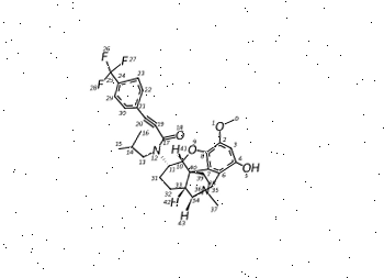 COc1cc(O)c2c3c1O[C@H]1[C@@H](N(CC(C)C)C(=O)C#Cc4ccc(C(F)(F)F)cc4)CC[C@H]4[C@@H](C2)N(C)CC[C@@]341